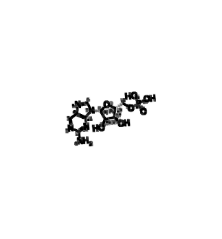 Nc1ncc2ncn([C@@H]3O[C@H](COP(=O)(O)O)[C@@H](O)[C@H]3O)c2n1